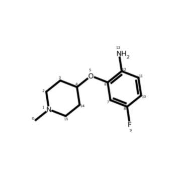 CN1CCC(Oc2cc(F)ccc2N)CC1